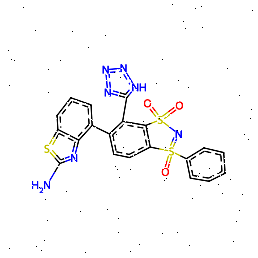 Nc1nc2c(-c3ccc4c(c3-c3nnn[nH]3)S(=O)(=O)N=S4(=O)c3ccccc3)cccc2s1